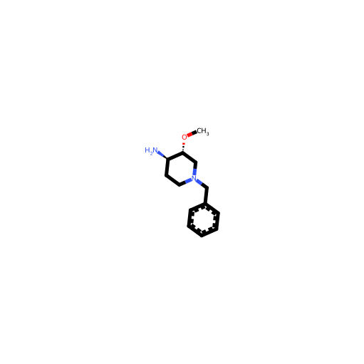 CO[C@@H]1CN(Cc2ccccc2)CC[C@H]1N